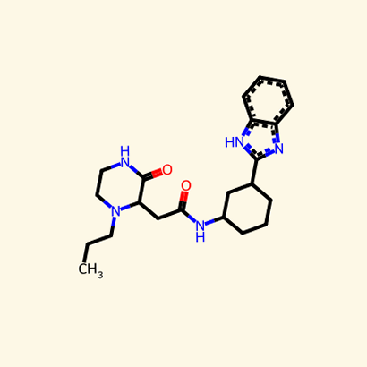 CCCN1CCNC(=O)C1CC(=O)NC1CCCC(c2nc3ccccc3[nH]2)C1